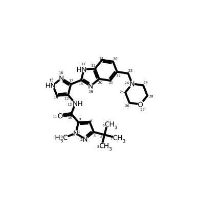 Cn1nc(C(C)(C)C)cc1C(=O)Nc1c[nH]nc1-c1nc2cc(CN3CCOCC3)ccc2[nH]1